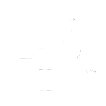 COC(=O)CC1(CCCC=O)CCc2cccc3cccc1c23